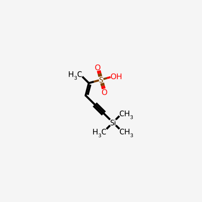 CC(=CC#C[Si](C)(C)C)S(=O)(=O)O